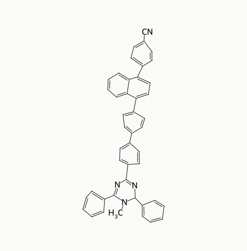 CN1C(c2ccccc2)=NC(c2ccc(-c3ccc(-c4ccc(-c5ccc(C#N)cc5)c5ccccc45)cc3)cc2)=NC1c1ccccc1